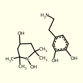 CC1(C)CC(O)CC(C)(C)N1O.NCCc1ccc(O)c(O)c1